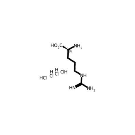 Cl.Cl.Cl.Cl.N=C(N)NCCC[C@H](N)C(=O)O